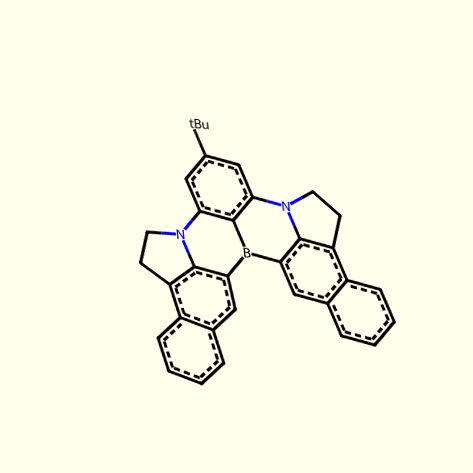 CC(C)(C)c1cc2c3c(c1)N1CCc4c1c(cc1ccccc41)B3c1cc3ccccc3c3c1N2CC3